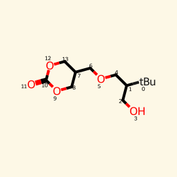 CC(C)(C)C(CO)COCC1COC(=O)OC1